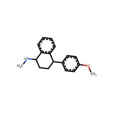 CNC1CCC(c2ccc(OC)cc2)c2ccccc21